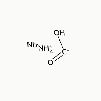 O=[C-]O.[NH4+].[Nb]